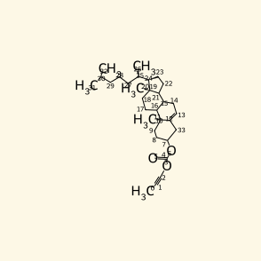 CC#COC(=O)OC1CC[C@@]2(C)C(=CCC3C2CC[C@@]2(C)C3CC[C@@H]2[C@H](C)CCCC(C)C)C1